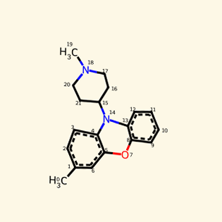 Cc1ccc2c(c1)Oc1ccccc1N2C1CCN(C)CC1